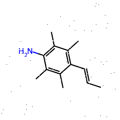 C/C=C/c1c(C)c(C)c(N)c(C)c1C